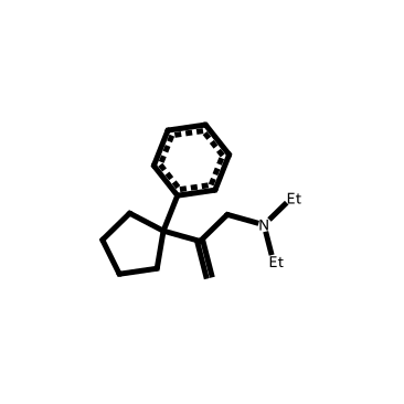 C=C(CN(CC)CC)C1(c2ccccc2)CCCC1